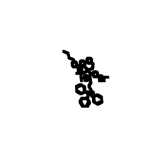 CCCCOC(=O)N(C)CC1(C(=O)NCCC[P+](c2ccccc2)(c2ccccc2)c2ccccc2)CCOCC1.[Br-]